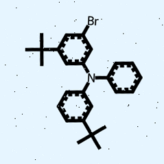 CC(C)(C)c1cccc(N(c2ccccc2)c2cc(Br)cc(C(C)(C)C)c2)c1